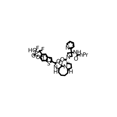 CCCC(=O)NC1(c2ccccn2)CN(C(=O)[C@@H]2CC[C@@H]3CCCC[C@H](NC(=O)c4cc5cc(C(F)(F)P(=O)(O)O)ccc5s4)C(=O)N32)C1